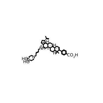 C=C(C)[C@@H]1CC[C@]2(CNCC=CCN3CCS(O)(O)CC3)CC[C@]3(C)[C@H](CC[C@@H]4[C@@]5(C)CC=C(c6ccc(C(=O)O)cc6)C(C)(C)[C@@H]5CC[C@]43C)[C@@H]12